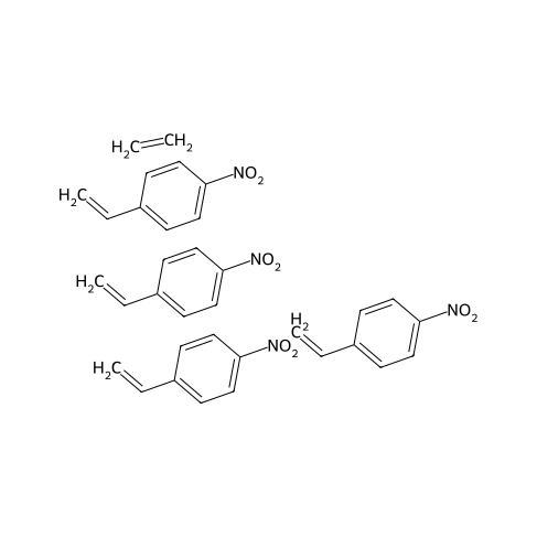 C=C.C=Cc1ccc([N+](=O)[O-])cc1.C=Cc1ccc([N+](=O)[O-])cc1.C=Cc1ccc([N+](=O)[O-])cc1.C=Cc1ccc([N+](=O)[O-])cc1